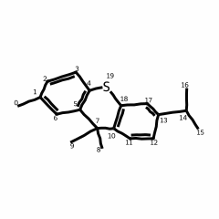 Cc1ccc2c(c1)C(C)(C)c1ccc(C(C)C)cc1S2